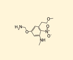 CNc1cc(OCN)cc(CCOC)c1[N+](=O)[O-]